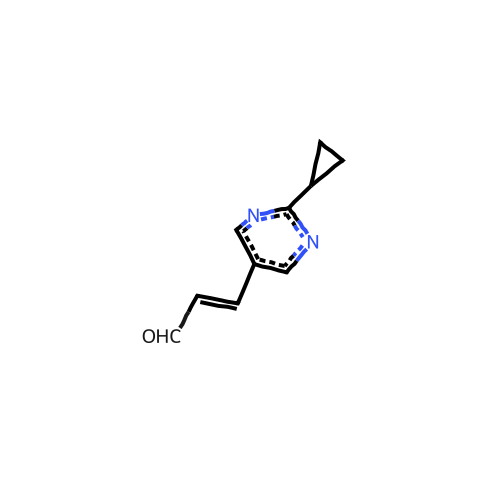 O=C/C=C/c1cnc(C2CC2)nc1